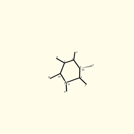 CC1C(C)[C@H](C)C(C)N(C)C1C